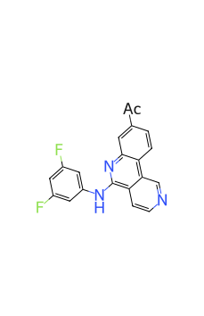 CC(=O)c1ccc2c(c1)nc(Nc1cc(F)cc(F)c1)c1ccncc12